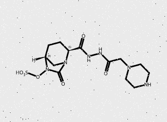 O=C(CN1CCNCC1)NNC(=O)[C@@H]1CC[C@@H]2CN1C(=O)N2OS(=O)(=O)O